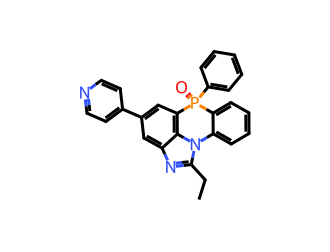 CCc1nc2cc(-c3ccncc3)cc3c2n1-c1ccccc1P3(=O)c1ccccc1